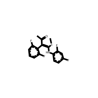 CSC(Nc1ccc(F)cc1F)=C(C(C)=O)c1c(F)cccc1F